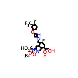 CC(C)(C)OC(=O)N(C(=O)O)c1cc2c(CN[C@H]3C[C@H](Oc4ccc(F)c(C(F)(F)F)c4)C3)c(F)cc(C(O)CO)c2cn1